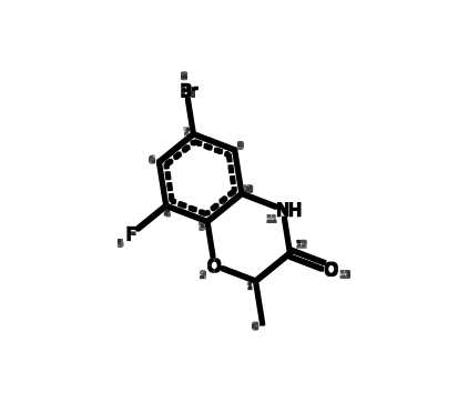 CC1Oc2c(F)cc(Br)cc2NC1=O